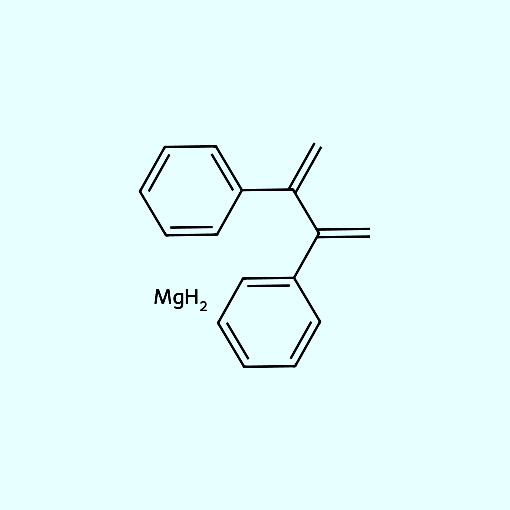 C=C(C(=C)c1ccccc1)c1ccccc1.[MgH2]